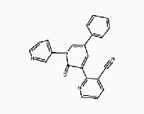 N#Cc1cccnc1-c1cc(-c2ccccc2)cn(-c2cccnc2)c1=O